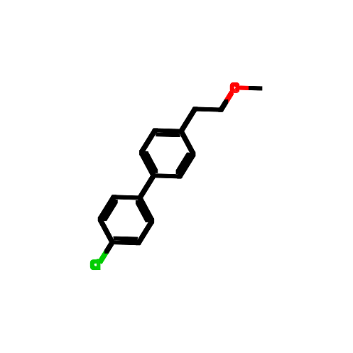 COCCc1ccc(-c2ccc(Cl)cc2)cc1